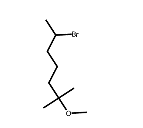 COC(C)(C)CCCC(C)Br